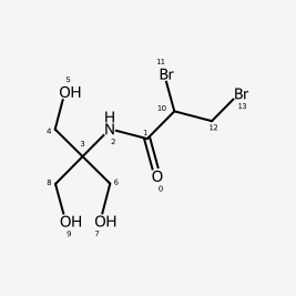 O=C(NC(CO)(CO)CO)C(Br)CBr